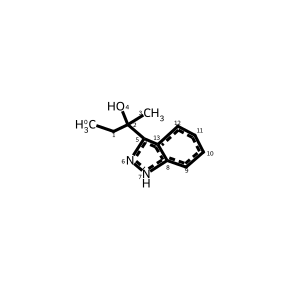 CCC(C)(O)c1n[nH]c2ccccc12